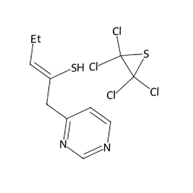 CCC=C(S)Cc1ccncn1.ClC1(Cl)SC1(Cl)Cl